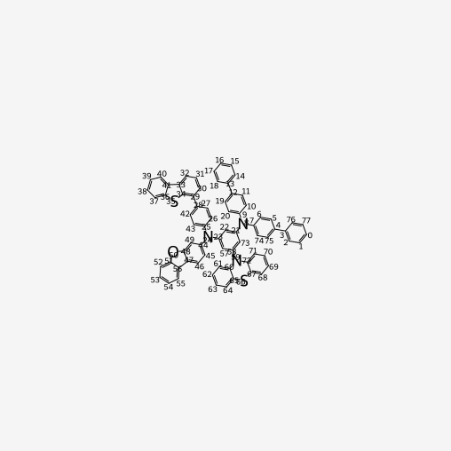 c1ccc(-c2ccc(N(c3ccc(-c4ccccc4)cc3)c3cc(N(c4ccc(-c5cccc6c5sc5ccccc56)cc4)c4ccc5c(c4)oc4ccccc45)cc(N4c5ccccc5Sc5ccccc54)c3)cc2)cc1